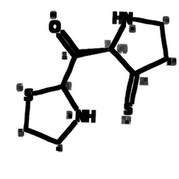 O=C(C1NCCS1)[C@H]1NCCC1=S